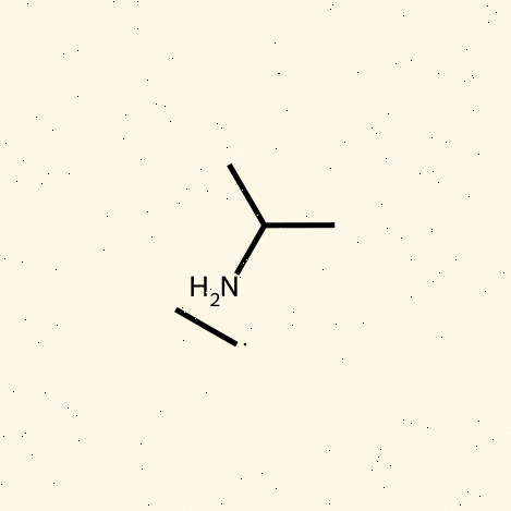 CC(C)N.[CH2]C